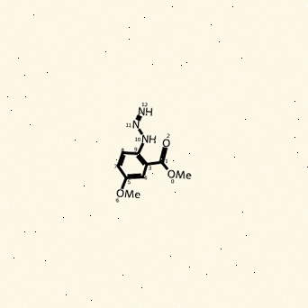 COC(=O)c1cc(OC)ccc1NN=N